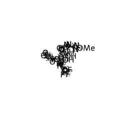 COc1ncc(-c2cn([C@H]3COC[C@@H]([SH]4C[C@H](OCC(=O)N5CCS(=O)(=O)CC5)[C@@H](n5cc(-c6cc(F)c(F)c(F)c6)nn5)[C@@H](O)[C@H]4CO)[C@@H]3O)nn2)cn1